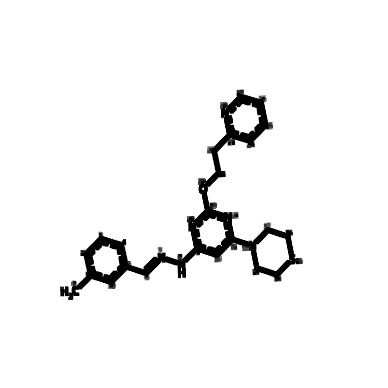 Cc1cccc(/C=N/Nc2cc(N3CCSCC3)nc(OCCc3ccccn3)n2)c1